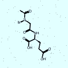 CC(=O)N(Br)CC(=O)N[C@@H](CCC(=O)O)C(=O)O